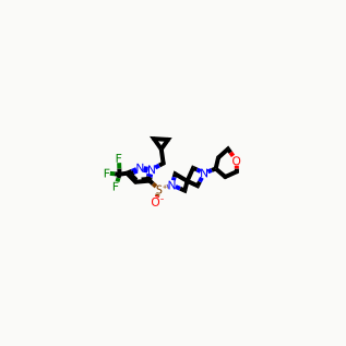 [O-][S+](c1cc(C(F)(F)F)nn1CC1CC1)N1CC2(CN(C3CCOCC3)C2)C1